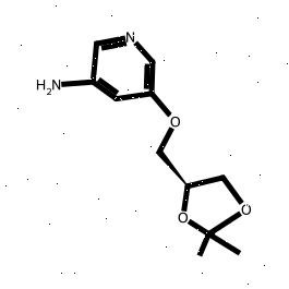 CC1(C)OC[C@H](COc2cncc(N)c2)O1